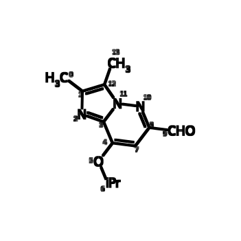 Cc1nc2c(OC(C)C)cc(C=O)nn2c1C